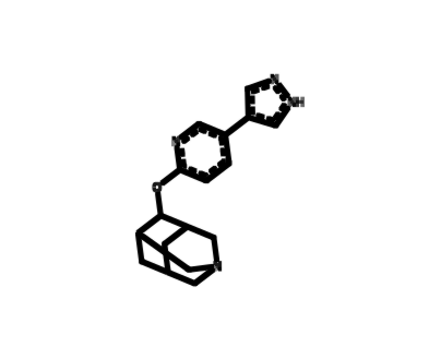 c1cc(OC2C3CC4CC2CN(C4)C3)ncc1-c1cn[nH]c1